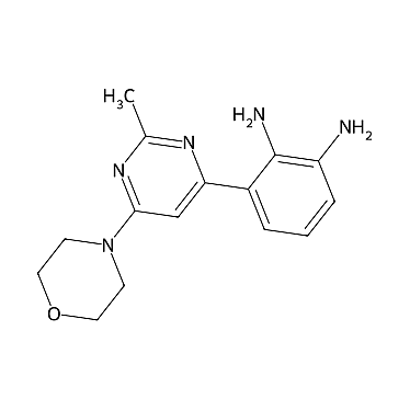 Cc1nc(-c2cccc(N)c2N)cc(N2CCOCC2)n1